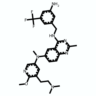 COc1ncc(N(C)c2ccc3nc(C)nc(NCc4cc(N)cc(C(F)(F)F)c4)c3c2)cc1CCN(C)C